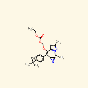 CCOC(=O)OCO/C(=C(\c1ccc(C(C)(C)C)cc1)C1C=N1)c1cc(C)nn1CC